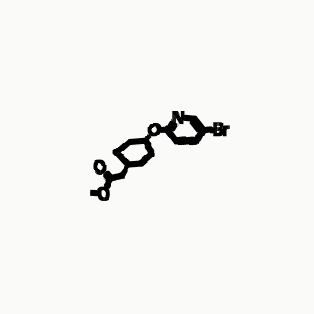 COC(=O)C[C@H]1CC[C@@H](Oc2ccc(Br)cn2)CC1